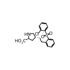 O=C(O)[C@@H]1C[C@@H](CCc2ccccc2S(=O)(=O)c2ccccc2Cl)CN1